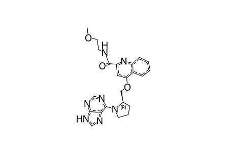 COCCNC(=O)c1cc(OC[C@H]2CCCN2c2ncnc3[nH]cnc23)c2ccccc2n1